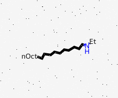 [CH2]CNCCCCCCCCCCCCCCCCCC